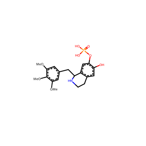 COc1cc(CC2NCCc3cc(O)c(OP(=O)(O)O)cc32)cc(OC)c1OC